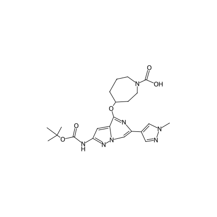 Cn1cc(-c2cn3nc(NC(=O)OC(C)(C)C)cc3c(OC3CCCN(C(=O)O)CC3)n2)cn1